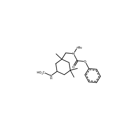 CCCCN(CC1(C)CC(NC(=O)O)CC(C)(C)C1)C(=O)Oc1ccccc1